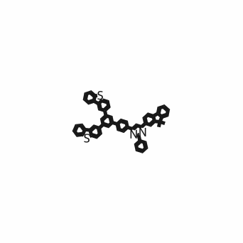 CC1(C)c2ccccc2-c2ccc(-c3cc(-c4ccc(-c5cc(-c6ccc7sc8ccccc8c7c6)cc(-c6ccc7sc8ccccc8c7c6)c5)cc4)nc(-c4ccccc4)n3)cc21